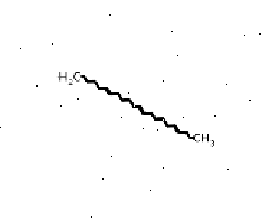 [CH2]CC=CCC=CCC=CCC=CCC=CCC=CCCC